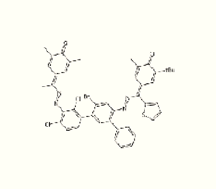 CC1=CC(=C(C)/N=N/c2c(Cl)ccc(-c3cc(-c4ccccc4)c(/N=N/C(=C4\C=C(C)C(=O)C(C(C)(C)C)=C4)c4cccs4)cc3Br)c2Cl)C=C(C)C1=O